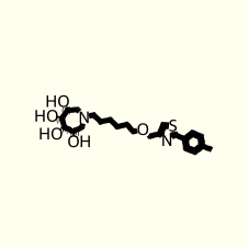 Cc1ccc(-c2nc(COCCCCCCN3C[C@H](O)[C@@H](O)[C@H](O)[C@@H](O)C3)cs2)cc1